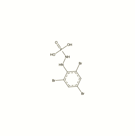 O=P(O)(O)NNc1c(Br)cc(Br)cc1Br